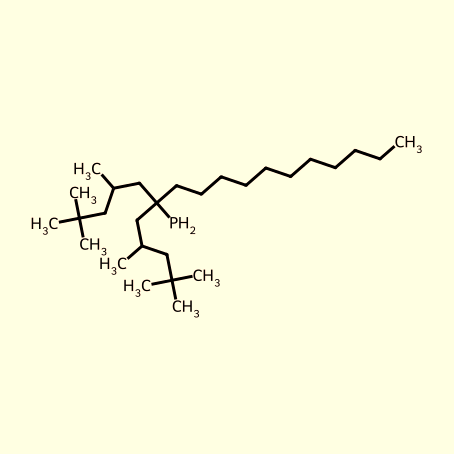 CCCCCCCCCCCC(P)(CC(C)CC(C)(C)C)CC(C)CC(C)(C)C